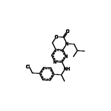 CC(C)CN1C(=O)OCc2cnc(NC(C)c3ccc(CCl)cc3)nc21